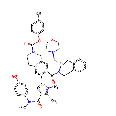 Cc1c(C(=O)N(C)c2ccc(O)cc2)cc(-c2cc3c(cc2C(=O)N2Cc4ccccc4C[C@H]2CN2CCOCC2)CN(C(=O)Oc2ccc(C#N)cc2)CC3)n1C